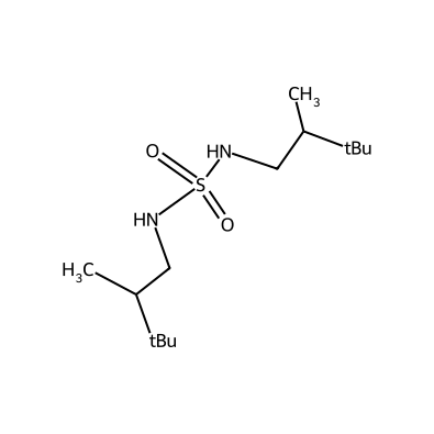 CC(CNS(=O)(=O)NCC(C)C(C)(C)C)C(C)(C)C